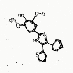 CCOc1cc(-c2nc(-c3ccccc3)c(-c3cccs3)[nH]2)cc(OC(C)(C)C)c1O